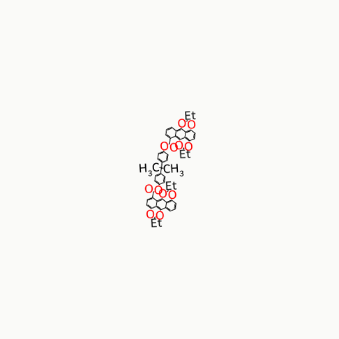 CCC(=O)Oc1c2ccccc2c(OC(=O)CC)c2c(C(=O)Oc3ccc(C(C)(C)c4ccc(OC(=O)c5cccc6c(OC(=O)CC)c7ccccc7c(OC(=O)CC)c56)cc4)cc3)cccc12